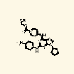 CC(C)(C)COC(=O)N1CCC(Nc2nc(N[C@H]3CC[C@H](N)CC3)nc3c2ncn3C2CCCC2)CC1